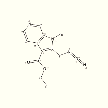 CCOC(=O)c1c(CN=[N+]=[N-])n(C)c2cnccc12